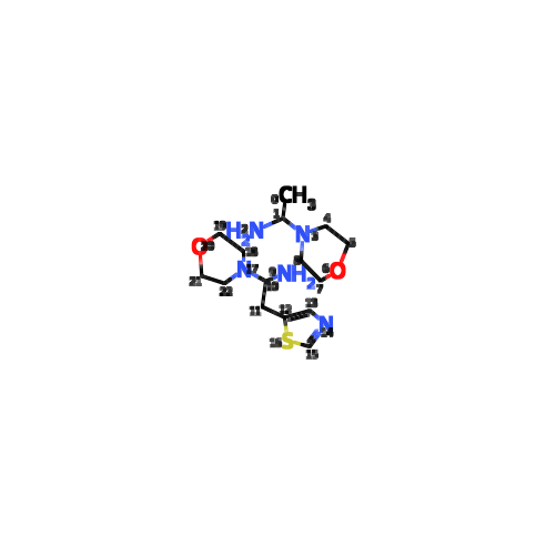 CC(N)N1CCOCC1.NC(Cc1cncs1)N1CCOCC1